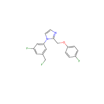 FCc1cc(F)cc(-n2ccnc2COc2ccc(F)cc2)c1